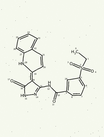 CCS(=O)(=O)c1cccc(C(=O)NC2=NNC(=O)C2=C2C=Cc3ccccc3N2)c1